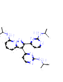 CC(C)Nc1nccc(-c2nn3c(NC(C)C)cccc3c2-c2ccnc(NC(C)C)n2)n1